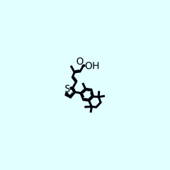 CC(C=Cc1sccc1-c1cc2c(cc1C)C(C)(C)CCC2(C)C)=CC(=O)O